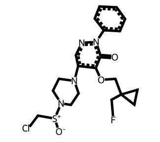 O=c1c(OCC2(CF)CC2)c(N2CCN([S+]([O-])CCl)CC2)cnn1-c1ccccc1